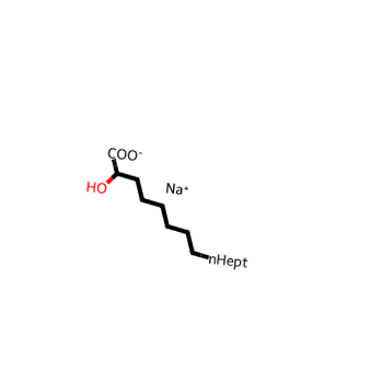 CCCCCCCCCCCCCC(O)C(=O)[O-].[Na+]